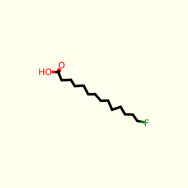 O=C(O)CCCCCCCCCCCCCF